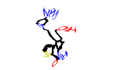 NC1CCN(C/C=C/c2c(CO)ccc3[nH]c(=O)c4sccc4c23)CC1